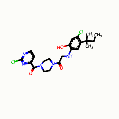 CCC(C)(C)c1cc(NCC(=O)N2CCN(C(=O)c3ccnc(Cl)n3)CC2)c(O)cc1Cl